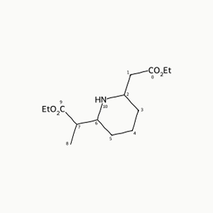 CCOC(=O)CC1CCCC(C(C)C(=O)OCC)N1